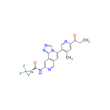 CCC(=O)c1cc(C)c(-c2cc3cnc(NC(=O)[C@H]4CC4(F)F)cc3c3nncn23)cn1